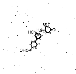 Cl.O=CCN1CCC(c2ccc(NC3CCC(=O)NC3=O)cc2)CC1